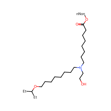 CCCCCCCCCOC(=O)CCCCCCCN(CCO)CCCCCCCCOC(CC)CC